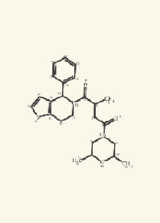 CC1CN(C(=O)CC(C)C(=O)N2CCc3sccc3C2c2ccccc2)CC(C)O1